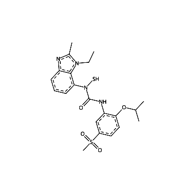 CCn1c(C)nc2cccc(N(S)C(=O)Nc3cc(S(C)(=O)=O)ccc3OC(C)C)c21